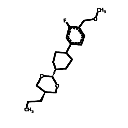 CCC[C@H]1CO[C@H](C2CCC(c3ccc(COC)c(F)c3)CC2)OC1